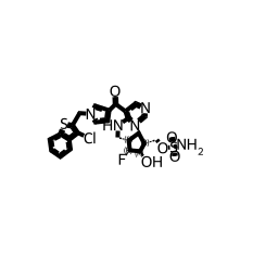 NS(=O)(=O)OC[C@H]1C[C@@H](CNc2ncncc2C(=O)c2ccn(Cc3sc4ccccc4c3Cl)c2)[C@@H](F)[C@@H]1O